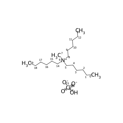 CCCCCC[N+](C)(CCCCCC)CCCCCC.[O-][Cl+3]([O-])([O-])O